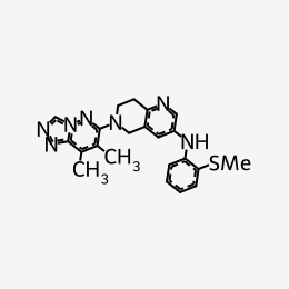 CSc1ccccc1Nc1cnc2c(c1)CN(c1nn3cnnc3c(C)c1C)CC2